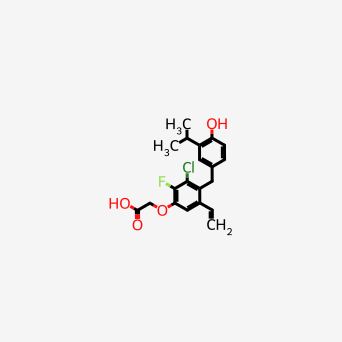 C=Cc1cc(OCC(=O)O)c(F)c(Cl)c1Cc1ccc(O)c(C(C)C)c1